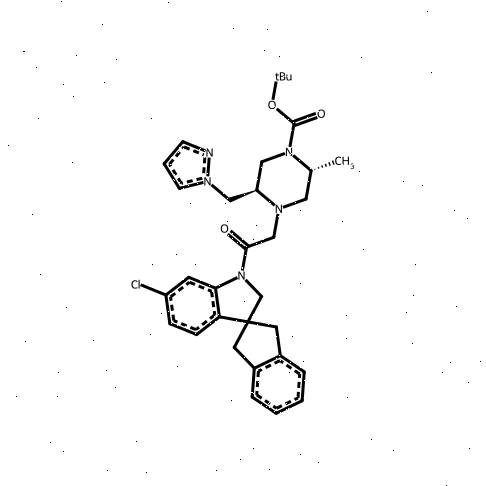 C[C@@H]1CN(CC(=O)N2CC3(Cc4ccccc4C3)c3ccc(Cl)cc32)[C@@H](Cn2cccn2)CN1C(=O)OC(C)(C)C